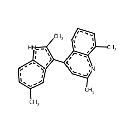 Cc1ccc2[nH]c(C)c(-c3cc(C)nc4c(C)cccc34)c2c1